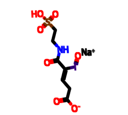 O=IC(=CCC(=O)[O-])C(=O)NCCS(=O)(=O)O.[Na+]